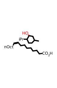 CC1CCC(C(C)C)C(O)C1.CCCCCCCC/C=C\CCCCCCCC(=O)O